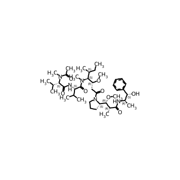 CC[C@H](C)[C@@H]([C@@H](CC(=O)N1CCC[C@H]1[C@H](OC)[C@@H](C)C(=O)N[C@H](C)[C@@H](O)c1ccccc1)OC)N(C)C(=O)[C@@H](NC(=O)[C@H](C(C)C)N(C)C(C)=O)C(C)C